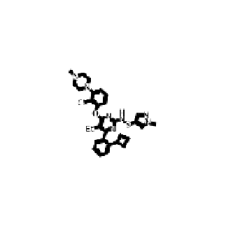 CCc1c(Oc2cccc(N3CCN(C)CC3)c2Cl)nc(NSc2cnn(C)c2)nc1-c1ccccc1C1CCC1